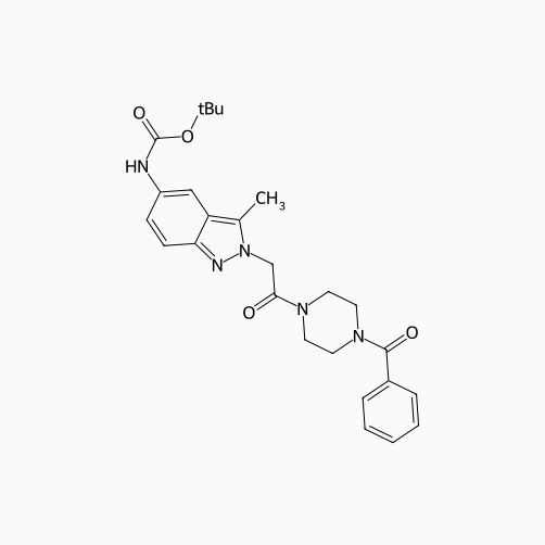 Cc1c2cc(NC(=O)OC(C)(C)C)ccc2nn1CC(=O)N1CCN(C(=O)c2ccccc2)CC1